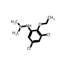 CCOc1c(Cl)cc(Cl)cc1NN(C)C